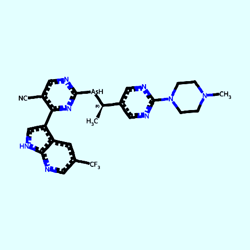 C[C@@H]([AsH]c1ncc(C#N)c(-c2c[nH]c3ncc(C(F)(F)F)cc23)n1)c1cnc(N2CCN(C)CC2)nc1